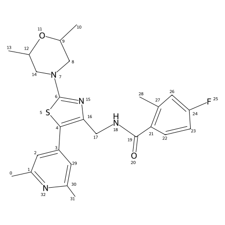 Cc1cc(-c2sc(N3CC(C)OC(C)C3)nc2CNC(=O)c2ccc(F)cc2C)cc(C)n1